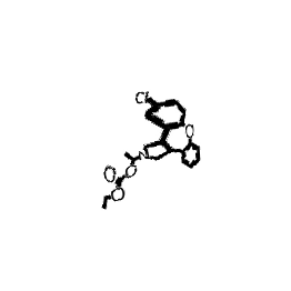 CCOC(=O)OC(C)N1CC2c3ccccc3Oc3ccc(Cl)cc3C2C1